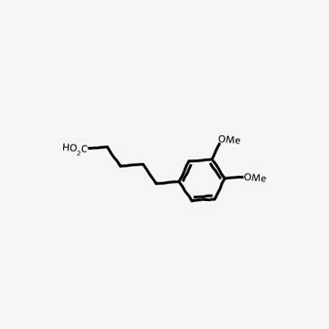 COc1ccc(CCCCC(=O)O)cc1OC